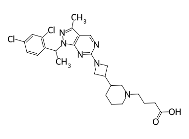 Cc1nn(C(C)c2ccc(Cl)cc2Cl)c2nc(N3CC(C4CCCN(CCCC(=O)O)C4)C3)ncc12